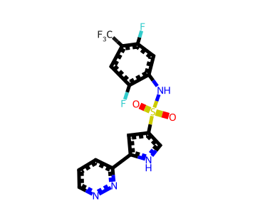 O=S(=O)(Nc1cc(F)c(C(F)(F)F)cc1F)c1c[nH]c(-c2cccnn2)c1